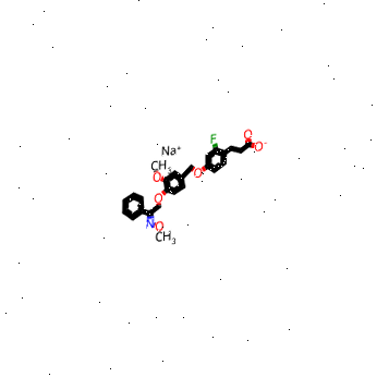 CO/N=C(\COc1ccc(COc2ccc(CCC(=O)[O-])c(F)c2)cc1OC)c1ccccc1.[Na+]